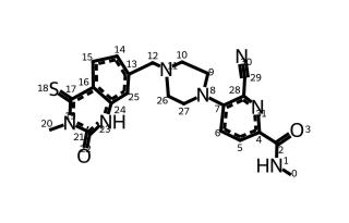 CNC(=O)c1ccc(N2CCN(Cc3ccc4c(=S)n(C)c(=O)[nH]c4c3)CC2)c(C#N)n1